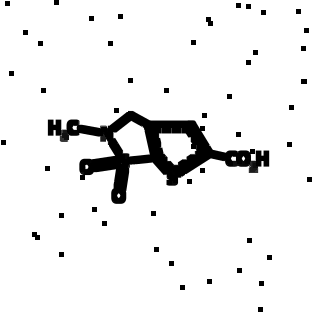 CN1Cc2cc(C(=O)O)sc2S1(=O)=O